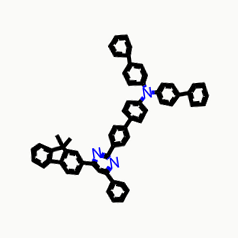 CC1(C)c2ccccc2-c2ccc(-c3cc(-c4ccccc4)nc(-c4ccc(-c5ccc(N(c6ccc(-c7ccccc7)cc6)c6ccc(-c7ccccc7)cc6)cc5)cc4)n3)cc21